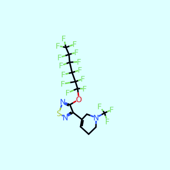 FC(F)(F)N1CCC=C(c2nsnc2OC(F)(F)C(F)(F)C(F)(F)C(F)(F)C(F)(F)C(F)(F)F)C1